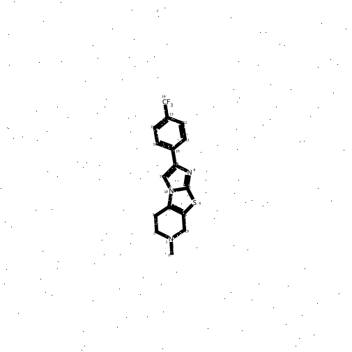 CN1CCc2c(sc3nc(-c4ccc(C(F)(F)F)cc4)cn23)C1